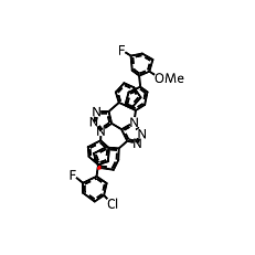 COc1ccc(F)cc1-c1ccc(-n2nnc(-c3ccccc3)c2-c2c(-c3ccccc3)nnn2-c2ccc(-c3cc(Cl)ccc3F)cc2)cc1